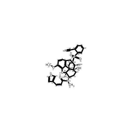 COc1ccc2c3c1O[C@H]1[C@H](N(C)C(=O)/C=C\c4ccoc4)CC[C@@]4(O)[C@@H](C2)N(S(=O)(=O)c2ccccc2C#N)CC[C@]314